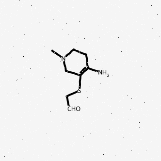 CN1CCC(N)=C(SCC=O)C1